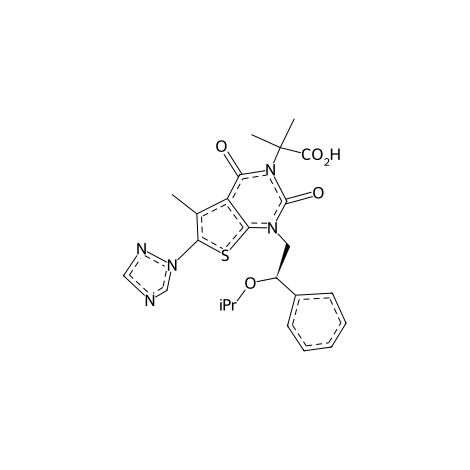 Cc1c(-n2cncn2)sc2c1c(=O)n(C(C)(C)C(=O)O)c(=O)n2C[C@H](OC(C)C)c1ccccc1